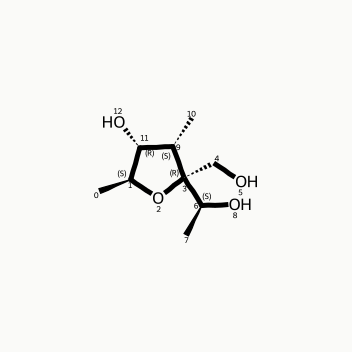 C[C@@H]1O[C@](CO)([C@H](C)O)[C@@H](C)[C@H]1O